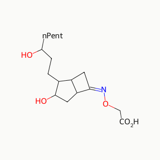 CCCCCC(O)CCC1C(O)CC2/C(=N\OCC(=O)O)CC21